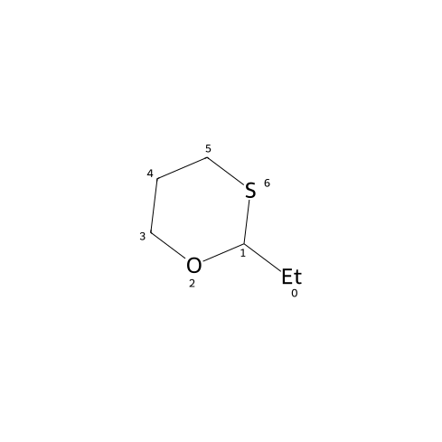 CCC1OCCCS1